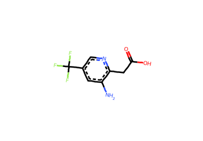 Nc1cc(C(F)(F)F)cnc1CC(=O)O